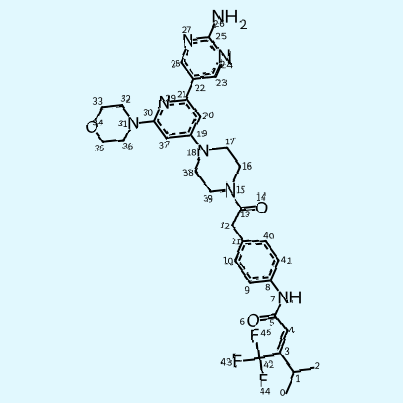 CC(C)/C(=C/C(=O)Nc1ccc(CC(=O)N2CCN(c3cc(-c4cnc(N)nc4)nc(N4CCOCC4)c3)CC2)cc1)C(F)(F)F